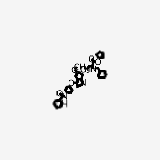 COc1cc2c(Oc3ccc(NC(=O)c4ccccc4)cc3)ccnc2cc1OCCC(NCc1ccccc1)C(=O)OC1CCCC1